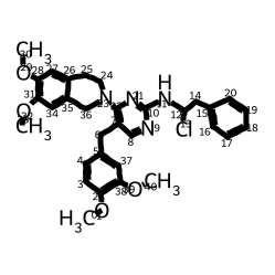 COc1ccc(Cc2cnc(NC(Cl)Cc3ccccc3)nc2N2CCc3cc(OC)c(OC)cc3C2)cc1OC